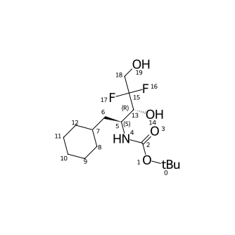 CC(C)(C)OC(=O)N[C@@H](CC1CCCCC1)[C@@H](O)C(F)(F)CO